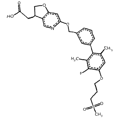 Cc1cc(OCCCS(C)(=O)=O)c(F)c(C)c1-c1cccc(COc2cc3c(cn2)C(CC(=O)O)CO3)c1